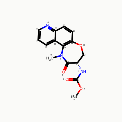 CN1C(=O)[C@@H](NC(=O)OC(C)(C)C)COc2ccc3ncccc3c21